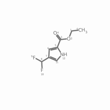 CCOC(=O)c1cc(C(F)F)c[nH]1